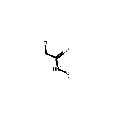 O=C(CCl)NO